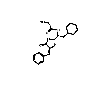 CC(C)(C)OC(=O)N[C@@H](CC1CCCCC1)[C@@H]1CC(=Cc2cccnc2)C(=O)O1